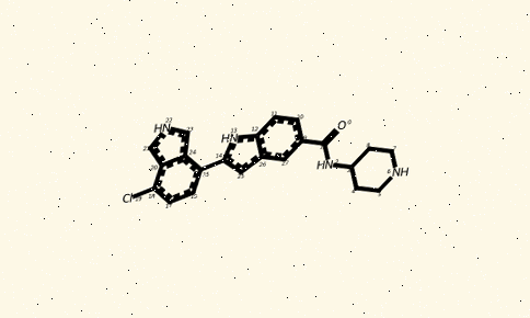 O=C(NC1CCNCC1)c1ccc2[nH]c(-c3ccc(Cl)c4c[nH]cc34)cc2c1